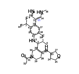 CCC(Nc1cc(C(F)F)c(/C(C=N)=C/NC)cc1F)C1=C(NC2CCOC2)CCN(C(C)=O)C1